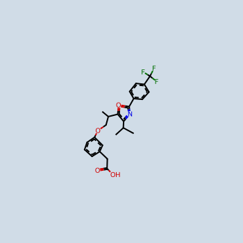 CC(C)c1nc(-c2ccc(C(F)(F)F)cc2)oc1C(C)COc1cccc(CC(=O)O)c1